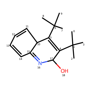 CC(C)(C)C1=C(C(C)(C)C)C2C=CC=CC2=NC1O